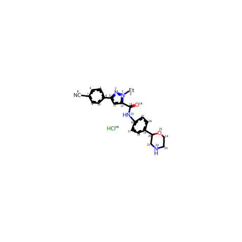 CCn1nc(-c2ccc(C#N)cc2)cc1C(=O)Nc1ccc(C2CNCCO2)cc1.Cl